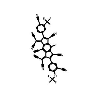 N#CC(C#N)=C1C(c2ccc(OC(F)(F)F)c(C#N)c2)=C(C#N)c2c(F)c3c(c(C#N)c21)C(=C(C#N)C#N)C(c1ccc(C#N)c(C(F)(F)F)c1)=C3C#N